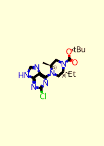 CC[C@@H]1CN(c2nc(Cl)nc3[nH]cnc23)[C@@H](C)CN1C(=O)OC(C)(C)C